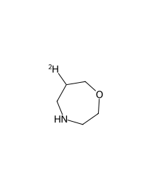 [2H]C1CNCCOC1